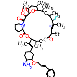 CCC1/C=C(\C)C(F)C(C)CC(OC)C2OC(O)(C(=O)C(=O)N3CCCCC3C(=O)OC(C(C)=CC3CCC(N)C(OCC=Cc4ccccc4)C3)C(C)CCC1=O)C(C)CC2OC